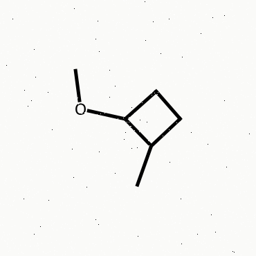 CO[C]1CCC1C